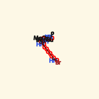 CCC(C)C(C(CC(=O)N1CCC[C@H]1C(OC)C(C)C(=O)NCCC1C=CC=CC=C1)OC)N(C)C(=O)C(NC(=O)C(C)(C)NC(=O)CCOCCOCCOCCOCCOCCOCCNC(=O)CBr)C(C)C